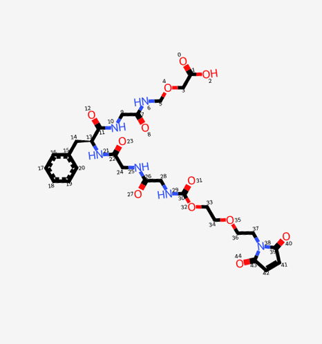 O=C(O)COCNC(=O)CNC(=O)[C@H](Cc1ccccc1)NC(=O)CNC(=O)CNC(=O)OCCOCCN1C(=O)C=CC1=O